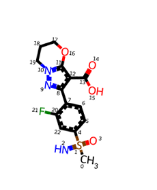 CS(=N)(=O)c1ccc(-c2nn3c(c2C(=O)O)OCCC3)c(F)c1